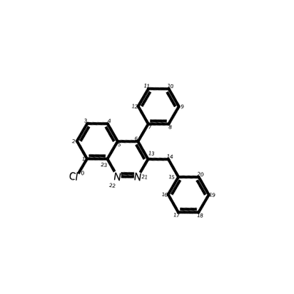 Clc1cccc2c(-c3c[c]ccc3)c(Cc3ccccc3)nnc12